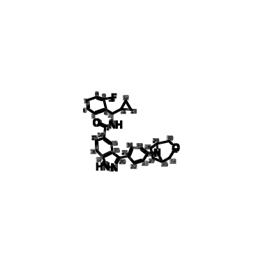 O=C(NC(c1ccccc1F)C1CC1)c1ccc2[nH]nc(-c3ccc(N4C5CCC4COC5)cc3)c2c1